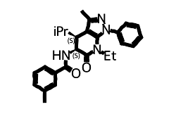 CCN1C(=O)[C@@H](NC(=O)c2cccc(C)c2)[C@@H](C(C)C)c2c(C)nn(-c3ccccc3)c21